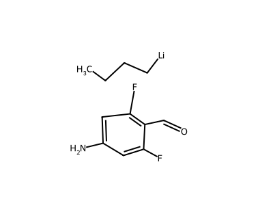 Nc1cc(F)c(C=O)c(F)c1.[Li][CH2]CCC